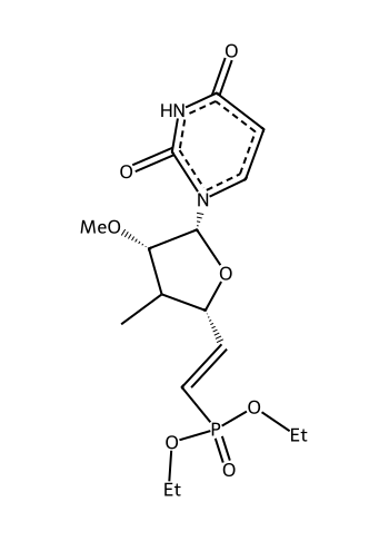 CCOP(=O)(/C=C/[C@H]1O[C@@H](n2ccc(=O)[nH]c2=O)[C@@H](OC)C1C)OCC